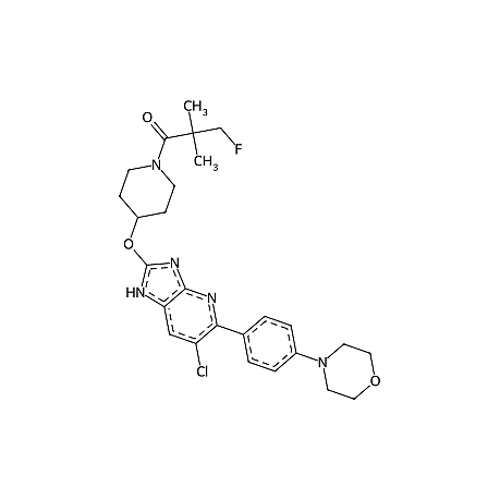 CC(C)(CF)C(=O)N1CCC(Oc2nc3nc(-c4ccc(N5CCOCC5)cc4)c(Cl)cc3[nH]2)CC1